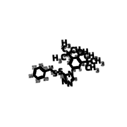 CC(C)(C)c1cc(-n2cnnc2SSCc2ccccc2)cc(C(C)(C)C)c1O